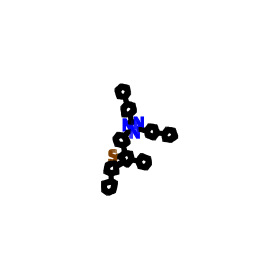 c1ccc(-c2ccc(-c3nc(-c4ccc(-c5ccccc5)cc4)nc(-c4cccc(-c5cc(-c6ccccc6)cc6c5sc5ccc(-c7ccccc7)cc56)c4)n3)cc2)cc1